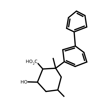 CC1CC(O)C(C(=O)O)C(C)(c2cccc(-c3ccccc3)c2)C1